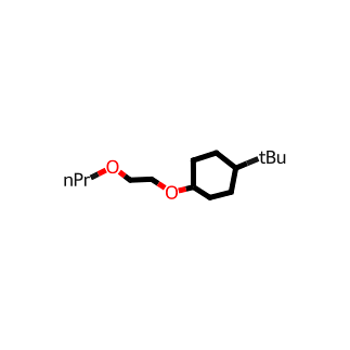 CCCOCCOC1CCC(C(C)(C)C)CC1